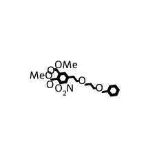 COC(=O)c1cc(CCOCCCOCc2ccccc2)cc([N+](=O)[O-])c1C(=O)OC